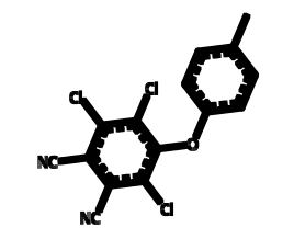 Cc1ccc(Oc2c(Cl)c(Cl)c(C#N)c(C#N)c2Cl)cc1